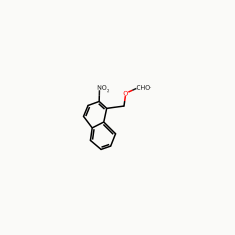 O=[C]OCc1c([N+](=O)[O-])ccc2ccccc12